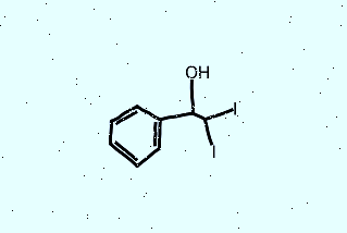 OC(c1ccccc1)C(I)I